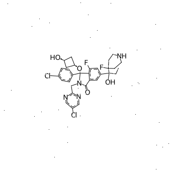 CCC(O)(c1cc(F)c2c(c1)C(=O)N(Cc1ncc(Cl)cn1)[C@@]2(O[C@H]1C[C@@H](O)C1)c1ccc(Cl)cc1)C1(F)CCNCC1